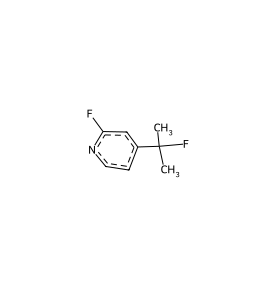 CC(C)(F)c1ccnc(F)c1